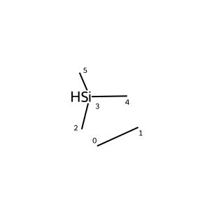 CC.C[SiH](C)C